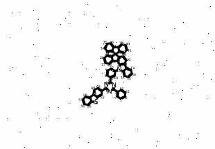 c1ccc(-c2nc(-c3cccc(-n4c5ccccc5c5ccc6c(c54)-c4ccccc4C64c5ccccc5-c5ccccc54)c3)nc(-c3ccc4c(c3)sc3ccccc34)n2)cc1